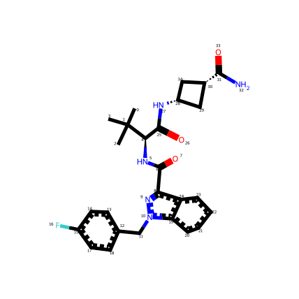 CC(C)(C)[C@H](NC(=O)c1nn(Cc2ccc(F)cc2)c2ccccc12)C(=O)N[C@H]1C[C@@H](C(N)=O)C1